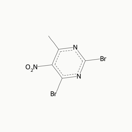 Cc1nc(Br)nc(Br)c1[N+](=O)[O-]